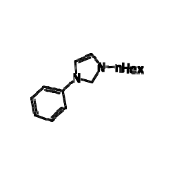 CCCCCCN1C=CN(c2ccccc2)C1